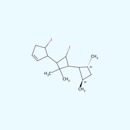 C[C@@H]1C[C@@H](C)C1C1C(I)C(C2C=CCC2I)C1(C)C